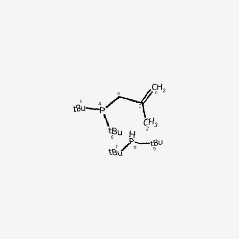 C=C(C)CP(C(C)(C)C)C(C)(C)C.CC(C)(C)PC(C)(C)C